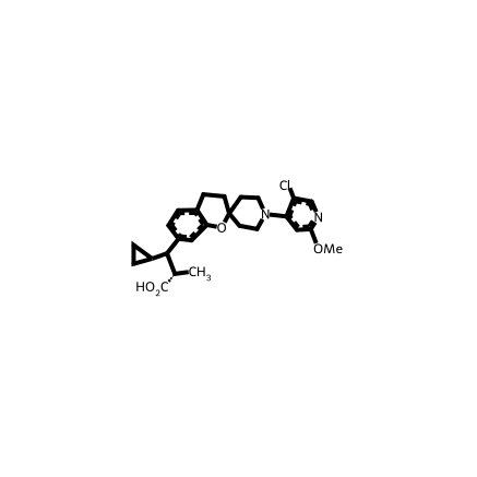 COc1cc(N2CCC3(CCc4ccc(C(C5CC5)[C@H](C)C(=O)O)cc4O3)CC2)c(Cl)cn1